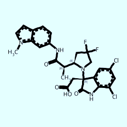 C[C@@H](C(=O)Nc1ccc2ccn(C)c2c1)[C@H]1CC(F)(F)CN1[C@@]1(CC(=O)O)C(=O)Nc2c(Cl)cc(Cl)cc21